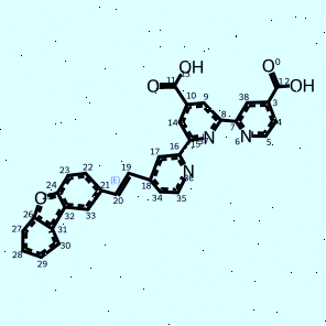 O=C(O)c1ccnc(-c2cc(C(=O)O)cc(-c3cc(/C=C/c4ccc5oc6ccccc6c5c4)ccn3)n2)c1